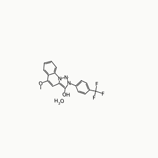 COC1=CC2=C(O)N(c3ccc(C(F)(F)F)cc3)[N]N2c2ccccc21.O